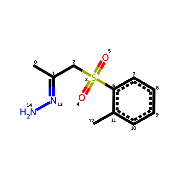 CC(CS(=O)(=O)c1ccccc1C)=NN